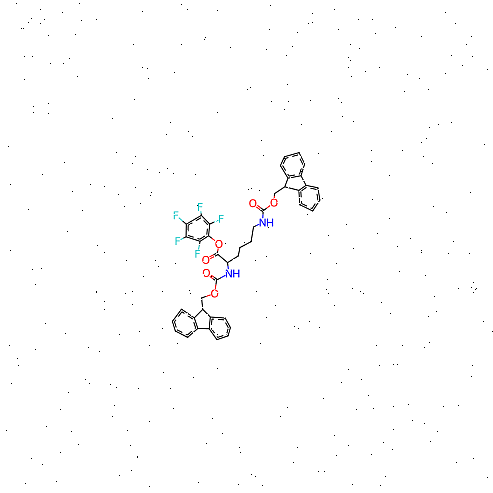 O=C(NCCCCC(NC(=O)OCC1c2ccccc2-c2ccccc21)C(=O)Oc1c(F)c(F)c(F)c(F)c1F)OCC1c2ccccc2-c2ccccc21